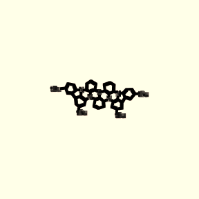 CC(C)(C)c1ccc2c(c1)c1cc(C(C)(C)C)cc3c1n2-c1cccc2c1N3c1cccc3c1B2c1cccc2c1N3c1cc(C(C)(C)C)cc3c4cc(C(C)(C)C)ccc4n-2c13